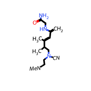 C=C(/C=C(\C)C(C)CN(C#N)CCNC)NCC(N)=O